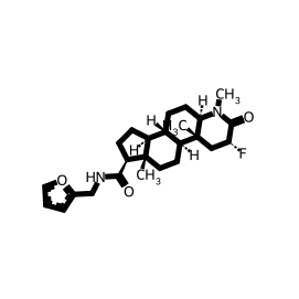 CN1C(=O)[C@H](F)C[C@]2(C)[C@H]3CC[C@]4(C)[C@@H](C(=O)NCc5ccco5)CC[C@H]4[C@@H]3CC[C@@H]12